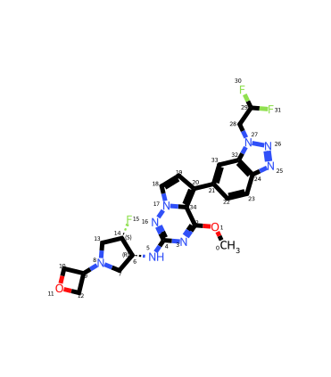 COc1nc(N[C@@H]2CN(C3COC3)C[C@@H]2F)nn2ccc(-c3ccc4nnn(CC(F)F)c4c3)c12